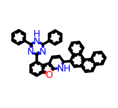 C1=CC(c2cc3ccc4ccccc4c3c3ccccc23)Nc2oc3cccc(C4=NC(c5ccccc5)NC(c5ccccc5)=N4)c3c21